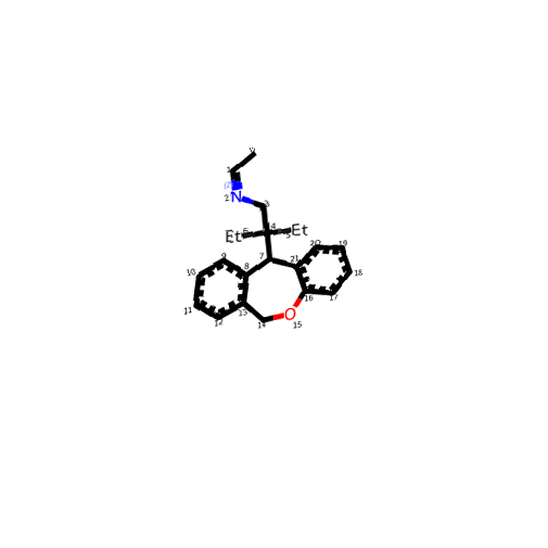 C/C=N\CC(CC)(CC)C1c2ccccc2COc2ccccc21